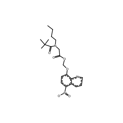 CCCCN(CC(=O)OCOc1ccc([N+](=O)[O-])c2cccnc12)C(=O)C(C)(C)C